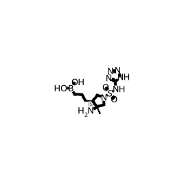 C[C@]1(N)CN(S(=O)(=O)Nc2nnn[nH]2)C[C@@H]1CCCB(O)O